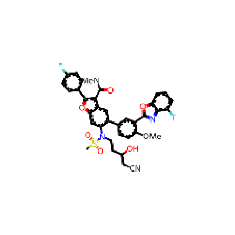 CNC(=O)c1c(-c2ccc(F)cc2)oc2cc(N(CCC(O)CC#N)S(C)(=O)=O)c(-c3ccc(OC)c(-c4nc5c(F)cccc5o4)c3)cc12